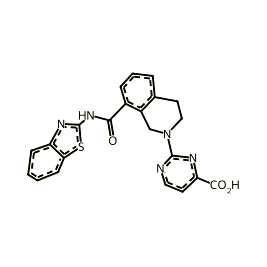 O=C(O)c1ccnc(N2CCc3cccc(C(=O)Nc4nc5ccccc5s4)c3C2)n1